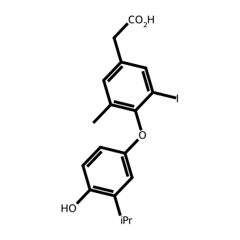 Cc1cc(CC(=O)O)cc(I)c1Oc1ccc(O)c(C(C)C)c1